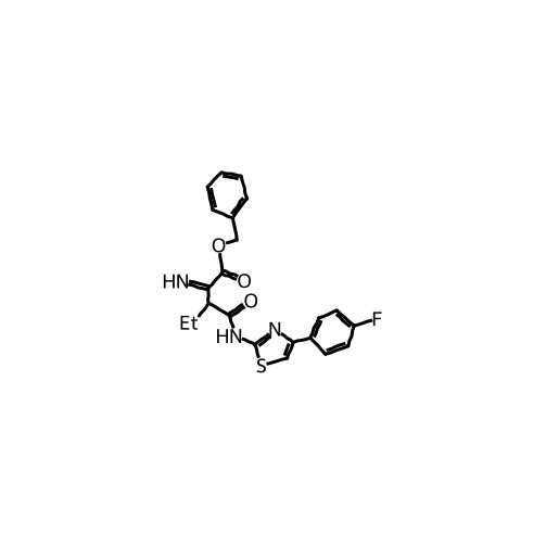 CCC(C(=N)C(=O)OCc1ccccc1)C(=O)Nc1nc(-c2ccc(F)cc2)cs1